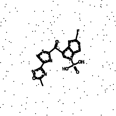 Cc1nc(-c2csc(C(=O)c3cn(P(=O)(O)O)c4ccc(F)cc34)n2)no1